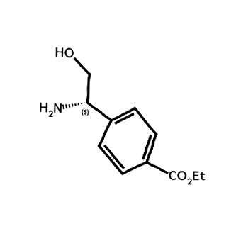 CCOC(=O)c1ccc([C@H](N)CO)cc1